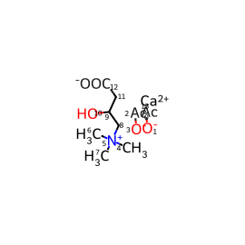 CC(=O)[O-].CC(=O)[O-].C[N+](C)(C)CC(O)CC(=O)[O-].[Ca+2]